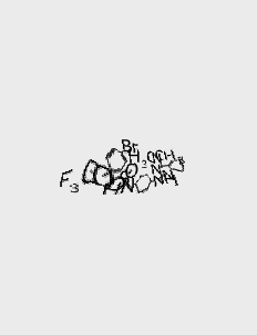 CN(C)c1nc(NC2CCC(NS(=O)(=O)c3cc(Br)ccc3OC(F)(F)F)CC2)nc2ccccc12